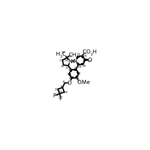 COc1cc2c(cc1OCC1CC(F)(F)C1)C1CCC(C)(C)N1n1cc(C(=O)O)c(=O)cc1-2